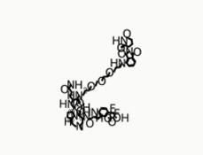 CN1CC[C@H]2CC[C@@H](C(=O)NC(CCC(N)=O)C(=O)NCCCOCCOCCOCCCNc3cccc4c3C(=O)N(C3CCC(=O)NC3=O)C4=O)N2C(=O)[C@@H](NC(=O)c2cc3cc(C(F)(F)P(=O)(O)O)ccc3[nH]2)C1